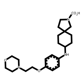 O=C(O)N1CCC2(CCC(Nc3ccc(OCCN4CCOCC4)cc3)CC2)C1